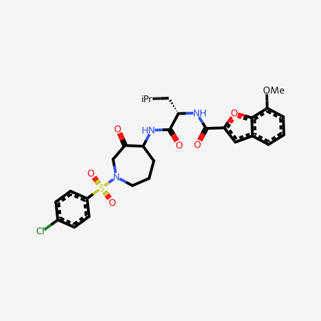 COc1cccc2cc(C(=O)N[C@@H](CC(C)C)C(=O)NC3CCCN(S(=O)(=O)c4ccc(Cl)cc4)CC3=O)oc12